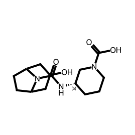 O=C(O)N1CCC[C@H](NC(=O)N2C3CCC2CC(O)C3)C1